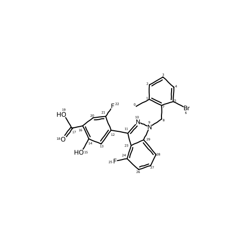 Cc1cccc(Br)c1Cn1nc(-c2cc(O)c(C(=O)O)cc2F)c2c(F)cccc21